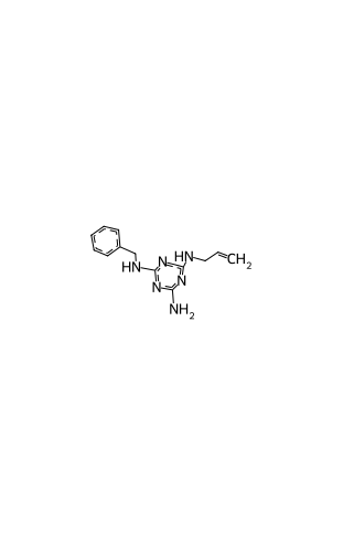 C=CCNc1nc(N)nc(NCc2ccccc2)n1